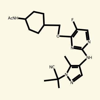 CC(=O)NC1CCC(COc2nc(Nc3cnn(C(C)(C)C#N)c3C)ncc2F)CC1